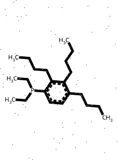 CCCCc1ccc(P(CC)CC)c(CCCC)c1CCCC